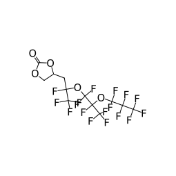 O=C1OCC(CC(F)(OC(F)(F)C(F)(OC(F)(F)C(F)(F)C(F)(F)F)C(F)(F)F)C(F)(F)F)O1